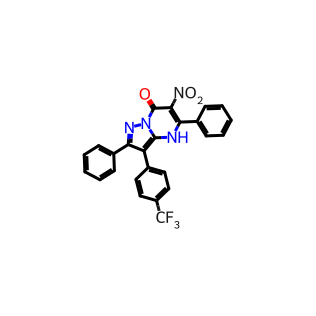 O=c1c([N+](=O)[O-])c(-c2ccccc2)[nH]c2c(-c3ccc(C(F)(F)F)cc3)c(-c3ccccc3)nn12